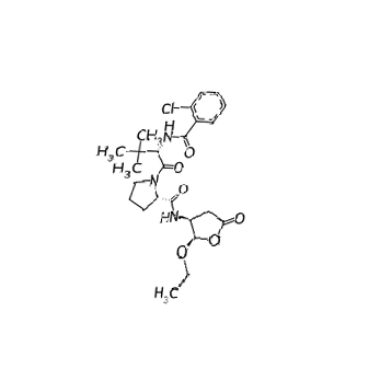 CCO[C@@H]1OC(=O)C[C@@H]1NC(=O)[C@@H]1CCCN1C(=O)[C@@H](NC(=O)c1ccccc1Cl)C(C)(C)C